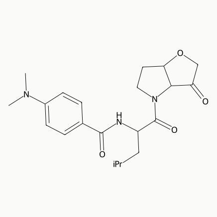 CC(C)CC(NC(=O)c1ccc(N(C)C)cc1)C(=O)N1CCC2OCC(=O)C21